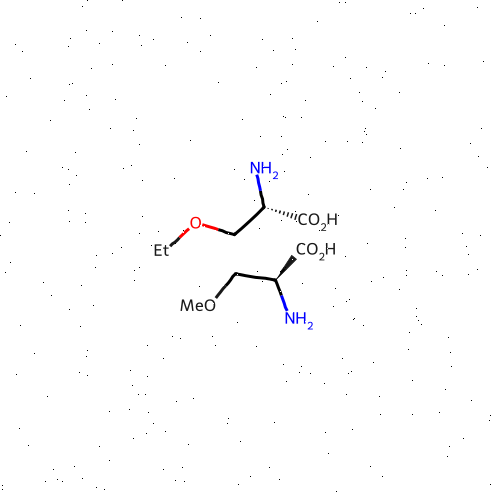 CCOC[C@H](N)C(=O)O.COC[C@H](N)C(=O)O